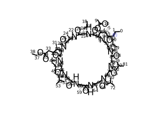 C/C=C/C[C@@H](C)[C@@H](OC(C)=O)[C@H]1C(=O)N[C@@H](CCC)C(=O)N(C)[C@H](C)C(=O)N(C)[C@@H]([C@H](C)CCC(=O)OCC)C(=O)N[C@@H](C(C)C)C(=O)N(C)[C@@H](CC(C)C)C(=O)N[C@@H](C)C(=O)N[C@H](C)C(=O)N(C)[C@@H](CC(C)C)C(=O)N(C)[C@@H](CC(C)C)C(=O)N(C)[C@@H](C(C)C)C(=O)N1C